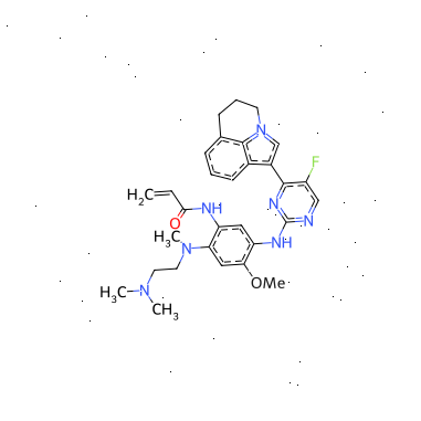 C=CC(=O)Nc1cc(Nc2ncc(F)c(-c3cn4c5c(cccc35)CCC4)n2)c(OC)cc1N(C)CCN(C)C